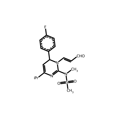 CC(C)C1=CC(c2ccc(F)cc2)N(C=CC=O)C(N(C)S(C)(=O)=O)=N1